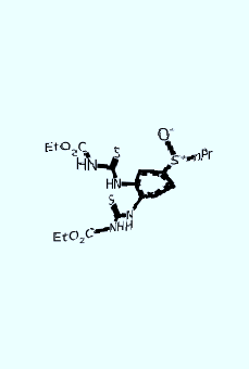 CCC[S+]([O-])c1ccc(NC(=S)NC(=O)OCC)c(NC(=S)NC(=O)OCC)c1